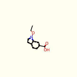 CCOn1ccc2ccc(C(=O)O)cc21